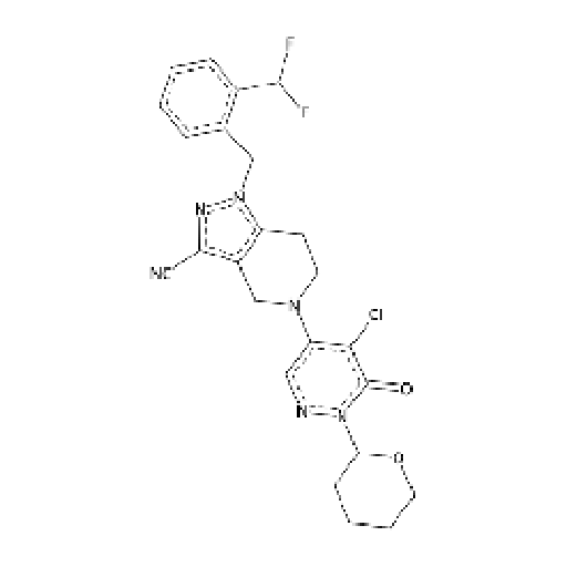 N#Cc1nn(Cc2ccccc2C(F)F)c2c1CN(c1cnn(C3CCCCO3)c(=O)c1Cl)CC2